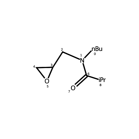 CCCCN(CC1CO1)C(=O)C(C)C